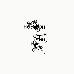 Nc1nc2c(ncn2[C@@H]2O[C@H](COP(=O)(O)OP(=O)(O)OP(=O)(O)O)C(O)C2N)c(=O)[nH]1